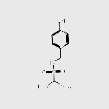 N#Cc1ccc(CNS(=O)(=O)C(N)N)cc1